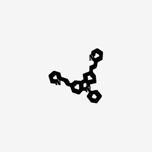 C(=Cc1ccccn1)c1ccc2c(c1)c1cc(C=Cc3ccccn3)ccc1n2-c1ccccc1